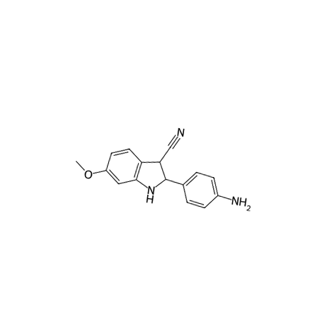 COc1ccc2c(c1)NC(c1ccc(N)cc1)C2C#N